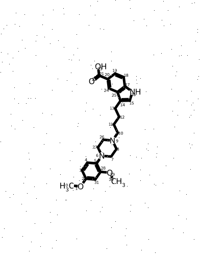 COc1ccc(N2CCN(CCCCc3c[nH]c4ccc(C(=O)O)cc34)CC2)c(OC)c1